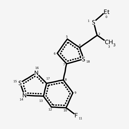 CCSC(C)c1ccc(-c2cc(F)cc3nsnc23)s1